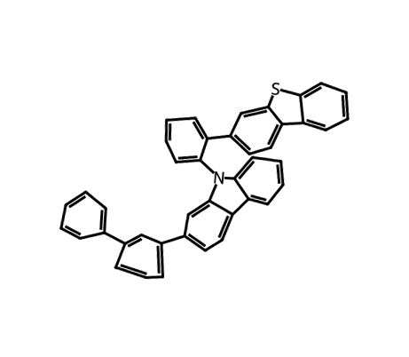 c1ccc(-c2cccc(-c3ccc4c5ccccc5n(-c5ccccc5-c5ccc6c(c5)sc5ccccc56)c4c3)c2)cc1